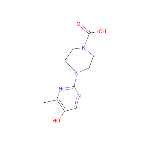 Cc1nc(N2CCN(C(=O)O)CC2)ncc1O